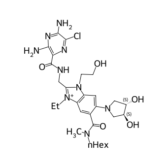 CCCCCCN(C)C(=O)c1cc2c(cc1N1C[C@H](O)[C@@H](O)C1)n(CCO)c(CNC(=O)c1nc(Cl)c(N)nc1N)[n+]2CC